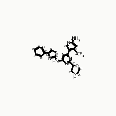 Nc1cc(C(F)(F)F)c(-c2cc(Nc3nc(-c4ccccc4)cs3)nc(C3CNCCO3)n2)cn1